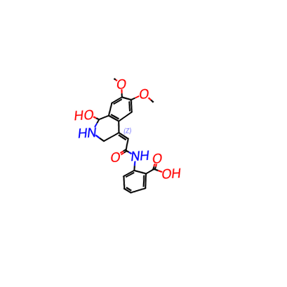 COc1cc2c(cc1OC)C(O)NC/C2=C\C(=O)Nc1ccccc1C(=O)O